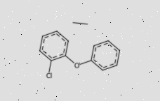 CC.Clc1ccccc1Oc1ccccc1